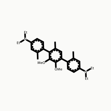 CCN(CC)c1ccc(-c2cc(C)c(-c3ccc(N(CC)CC)cc3C)c(OC)c2OC)c(C)c1